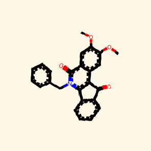 COc1cc2c3c(n(Cc4ccccc4)c(=O)c2cc1OC)-c1ccccc1C3=O